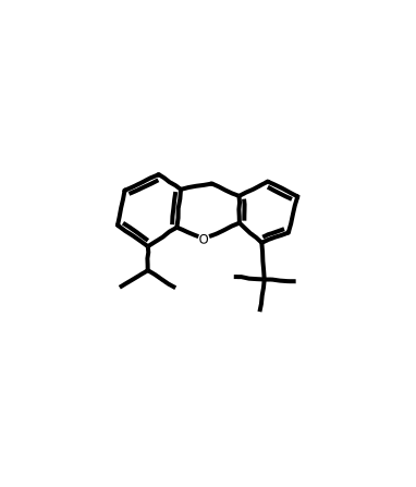 CC(C)c1cccc2c1Oc1c(cccc1C(C)(C)C)C2